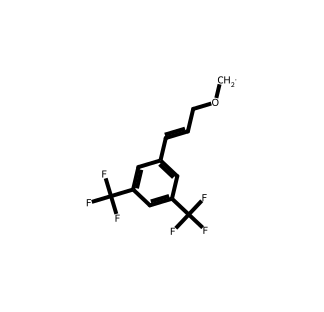 [CH2]OCC=Cc1cc(C(F)(F)F)cc(C(F)(F)F)c1